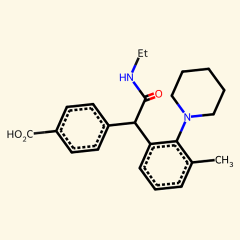 CCNC(=O)C(c1ccc(C(=O)O)cc1)c1cccc(C)c1N1CCCCC1